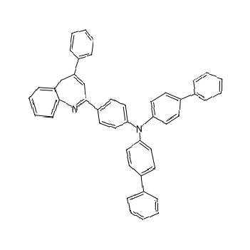 C1=C(c2ccccc2)Cc2ccccc2N=C1c1ccc(N(c2ccc(-c3ccccc3)cc2)c2ccc(-c3ccccc3)cc2)cc1